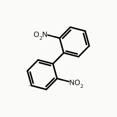 O=[N+]([O-])c1c[c]ccc1-c1ccccc1[N+](=O)[O-]